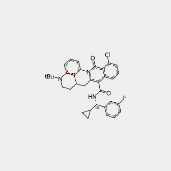 CC(C)(C)N1CCC(Cc2c(C(=O)N[C@H](c3cccc(F)c3)C3CC3)c3cccc(Cl)c3c(=O)n2-c2ccccc2)CC1